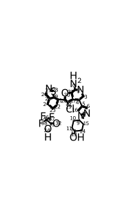 Nc1ncc(-c2cnn([C@H]3CC[C@H](O)CC3)c2)c2c(Cl)c(-c3cccc4cnsc34)oc12.O=C(O)C(F)(F)F